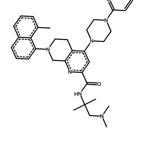 C=CC(=O)N1CCN(c2cc(C(=O)NC(C)(C)CN(C)C)nc3c2CCN(c2cccc4cccc(C)c24)C3)CC1